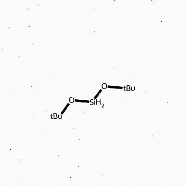 CC(C)(C)O[SiH2]OC(C)(C)C